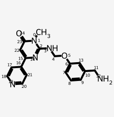 Cn1c(NCOc2cccc(CN)c2)nc(-c2ccncc2)cc1=O